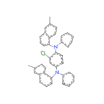 Cc1ccc2c(N(c3ccccc3)c3ccc(N(c4ccccc4)c4cccc5cc(C)ccc45)c(Cl)c3)cccc2c1